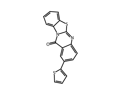 O=c1c2cc(-c3cccs3)ccc2nc2sc3ccccc3n12